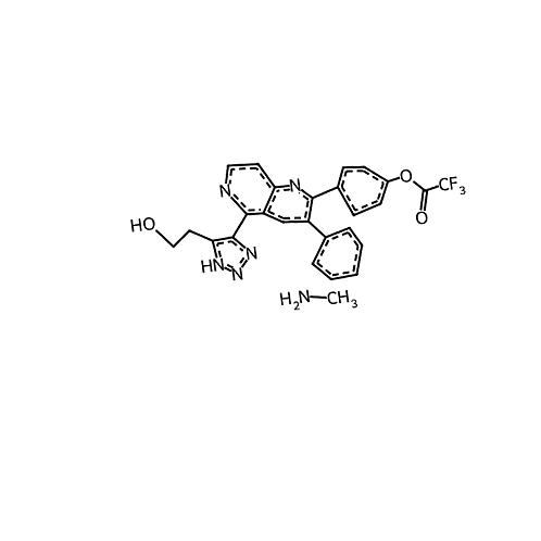 CN.O=C(Oc1ccc(-c2nc3ccnc(-c4nn[nH]c4CCO)c3cc2-c2ccccc2)cc1)C(F)(F)F